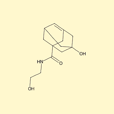 O=C(NCCO)C12CC3=CC(CC(O)(C3)C1)C2